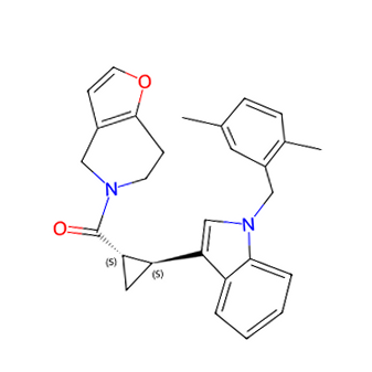 Cc1ccc(C)c(Cn2cc([C@H]3C[C@@H]3C(=O)N3CCc4occc4C3)c3ccccc32)c1